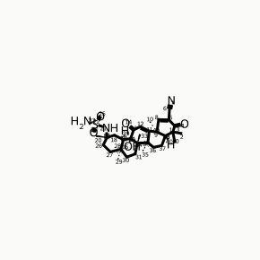 CC1(C)C(=O)C(C#N)=C[C@]2(C)C3=CC(=O)[C@]4(O)[C@@H]5C[C@@](C)(NS(N)(=O)=O)CC[C@]5(C)CC[C@@]4(C)[C@]3(C)CC[C@@H]12